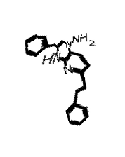 NN1C=C(c2ccccc2)Nc2nc(CCc3ccccc3)ccc21